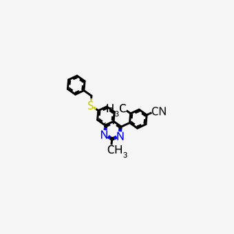 Cc1nc(-c2ccc(C#N)cc2C)c2ccc(SCc3ccccc3)cc2n1